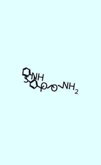 CC(OCCOCCN)c1ccc2c(c1)Nc1ccccc1S2